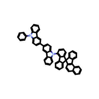 c1ccc(-n2c3ccccc3c3cc(-c4ccc5c(c4)c4ccccc4n5-c4cccc5c4-c4ccccc4C54c5ccccc5-c5c4ccc4ccccc54)ccc32)cc1